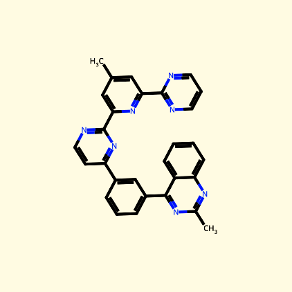 Cc1cc(-c2ncccn2)nc(-c2nccc(-c3cccc(-c4nc(C)nc5ccccc45)c3)n2)c1